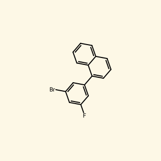 Fc1cc(Br)cc(-c2cccc3ccccc23)c1